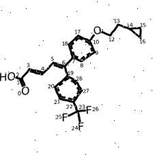 O=C(O)C=CC=C(c1ccc(OCCC2CC2)cc1)c1ccc(C(F)(F)F)cc1